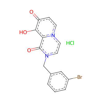 Cl.O=c1ccn2ccn(Cc3cccc(Br)c3)c(=O)c2c1O